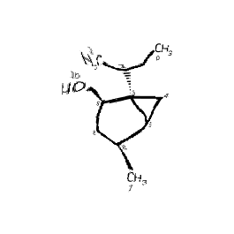 CC(C)[C@]12CC1[C@@H](C)C[C@H]2O